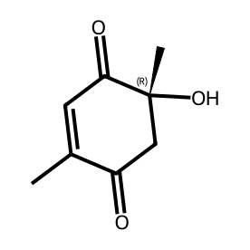 CC1=CC(=O)[C@](C)(O)CC1=O